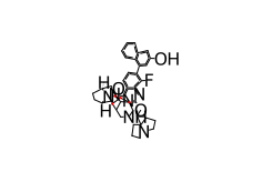 O=C(C1C2CCC1CNC2)N1[C@@H]2CC[C@H]1CN(c1nc(OCC34CCCN3CCC4)nc3c(F)c(-c4cc(O)cc5ccccc45)ccc13)C2